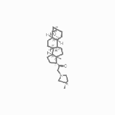 C[C@@H]1CCN(CC(=O)[C@H]2CC[C@H]3[C@@H]4CC[C@@H]5C6C[C@@]6(O)CC[C@@H]5[C@H]4CC[C@]23C)C1